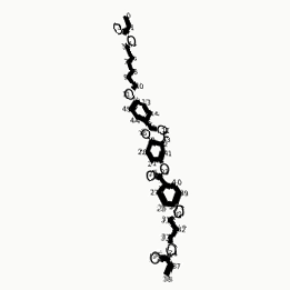 C=CC(=O)OCCCCCCOc1ccc(C(=O)Oc2ccc(OC(=O)c3ccc(OCCCOC(=O)C=C)cc3)cc2F)cc1